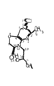 CC1=NC2=C(CN1Cl)OCC(=O)N2CC(O)CO